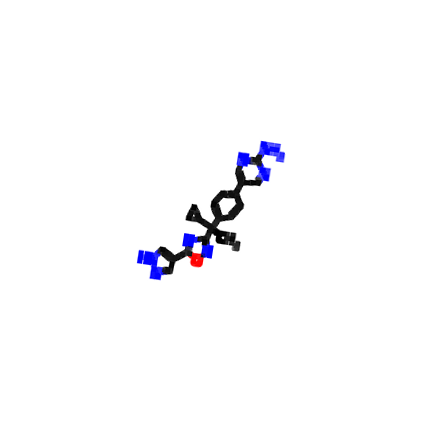 C[C@@](c1ccc(-c2cnc(N)nc2)cc1)(c1noc(-c2cn[nH]c2)n1)C1CC1